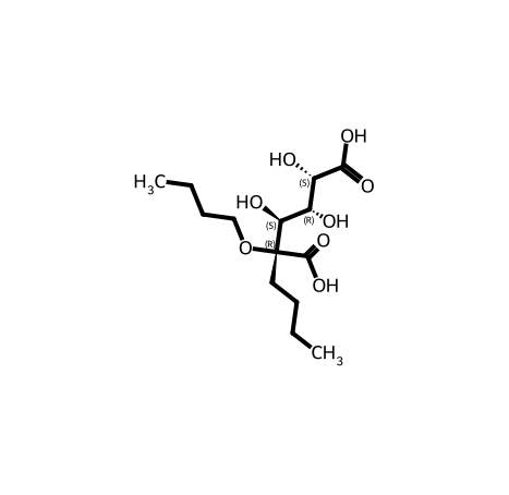 CCCCO[C@@](CCCC)(C(=O)O)[C@@H](O)[C@@H](O)[C@H](O)C(=O)O